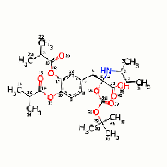 CCC(C)N[C@@](Cc1ccc(OC(=O)C(C)C)c(OC(=O)C(C)C)c1)(OC(=O)OC(C)(C)C)C(=O)O